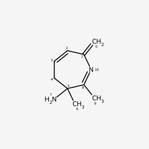 C=C1C=CCC(C)(N)C(C)=N1